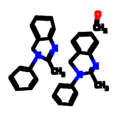 C=O.CC1=Nc2ccccc2CN1c1ccccc1.CC1=Nc2ccccc2CN1c1ccccc1